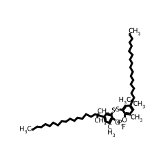 CCCCCCCCCCCCCCCCCC(C)(C)c1cc(C)c2op(F)oc3c(C)cc(C(C)(C)CCCCCCCCCCCCCCCCC)cc3ssc2c1